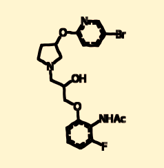 CC(=O)Nc1c(F)cccc1OCC(O)CN1CCC(Oc2ccc(Br)cn2)C1